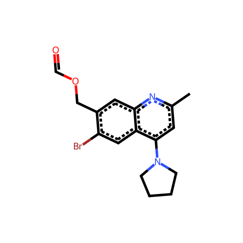 Cc1cc(N2CCCC2)c2cc(Br)c(COC=O)cc2n1